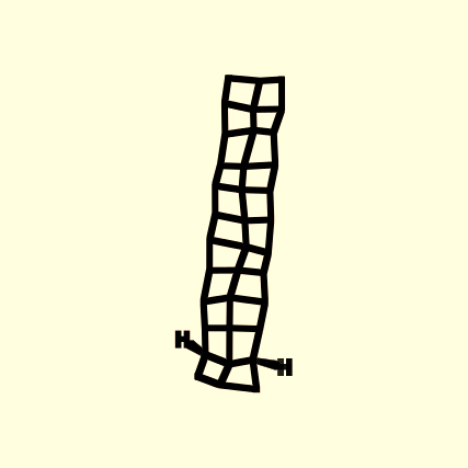 C1C2CC3C4C5C6C7C8C9C%10C%11[C@@H]%12CC%13C[C@@H]%14C%15C%16C%17C%18C%19C%20C%21C%22C1C23C%224C%215C%206C%197C%188C%179C%16%10C%15%11C%13%14%12